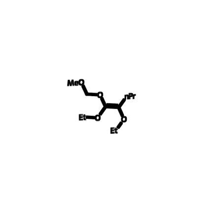 CCCC(OCC)=C(OCC)OCOC